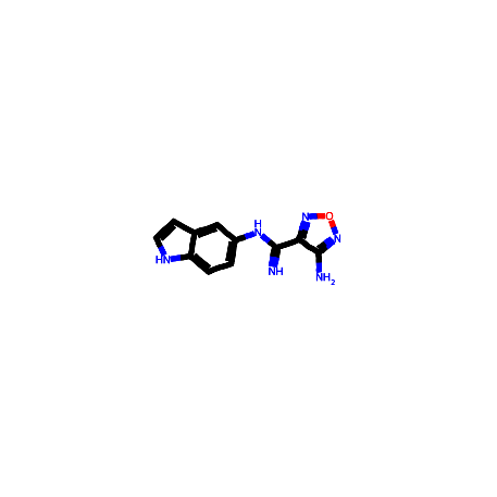 N=C(Nc1ccc2[nH]ccc2c1)c1nonc1N